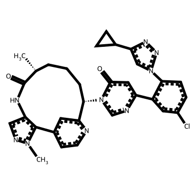 C[C@@H]1CCC[C@H](n2cnc(-c3cc(Cl)ccc3-n3cc(C4CC4)nn3)cc2=O)c2cc(ccn2)-c2c(cnn2C)NC1=O